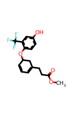 COC(=O)CCC1=CC=CC(Oc2ccc(O)cc2C(F)(F)F)C1